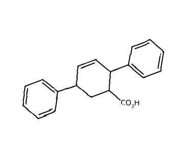 O=C(O)C1CC(c2ccccc2)C=CC1c1ccccc1